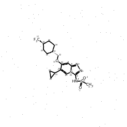 CS(=O)(=O)Nc1nnc2cc(OC[C@H]3CC[C@H](C(F)(F)F)CC3)c(C3CC3)cn12